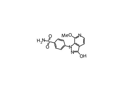 COc1nccc2c(O)nn(-c3ccc(S(N)(=O)=O)cc3)c12